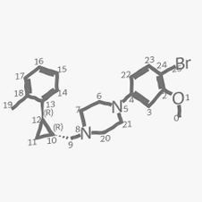 COc1cc(N2CCN(C[C@@H]3C[C@H]3c3ccccc3C)CC2)ccc1Br